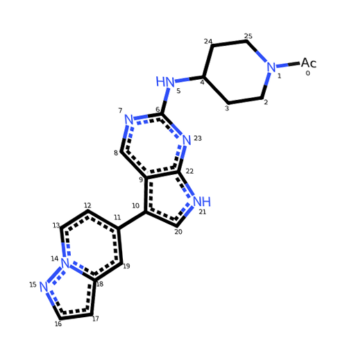 CC(=O)N1CCC(Nc2ncc3c(-c4ccn5nccc5c4)c[nH]c3n2)CC1